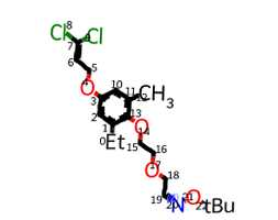 CCc1cc(OCC=C(Cl)Cl)cc(C)c1OCCOC/C=N\OC(C)(C)C